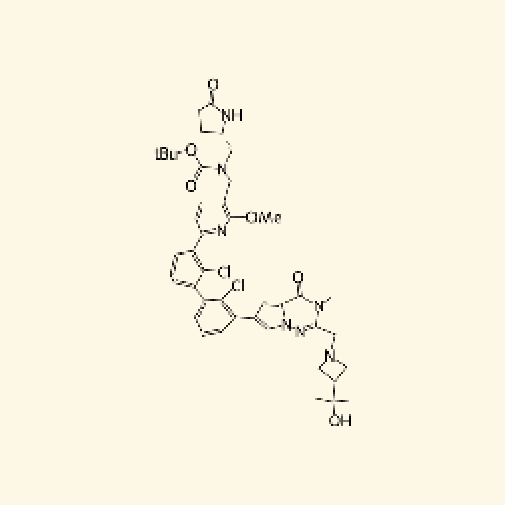 COc1nc(-c2cccc(-c3cccc(-c4cc5c(=O)n(C)c(CN6CC(C(C)(C)O)C6)nn5c4)c3Cl)c2Cl)ccc1CN(C[C@@H]1CCC(=O)N1)C(=O)OC(C)(C)C